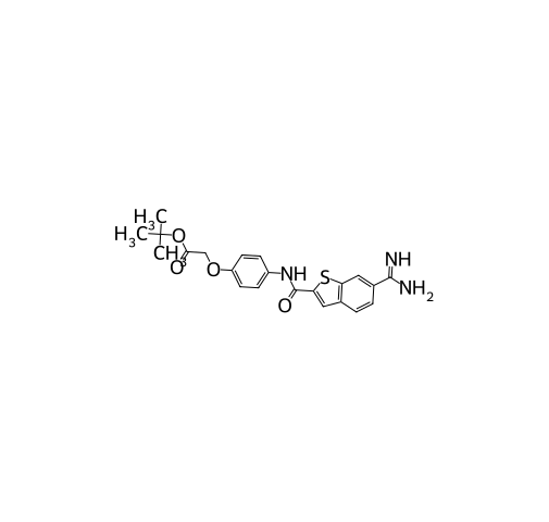 CC(C)(C)OC(=O)COc1ccc(NC(=O)c2cc3ccc(C(=N)N)cc3s2)cc1